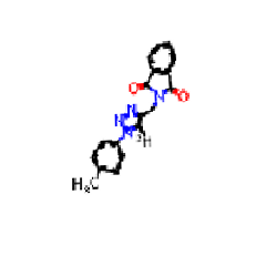 [2H]c1c(CN2C(=O)c3ccccc3C2=O)nnn1-c1ccc(C)cc1